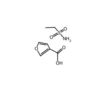 CCS(N)(=O)=O.O=C(O)c1ccoc1